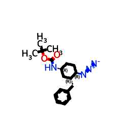 CC(C)(C)OC(=O)N[C@@H]1CC[C@@H](N=[N+]=[N-])[C@H](Cc2ccccc2)C1